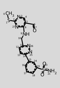 CSc1ncc(C=O)c(NCc2ccc(-c3cccc(S(N)(=O)=O)c3)nn2)n1